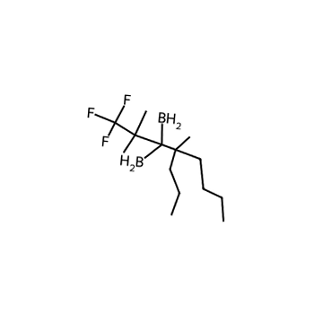 BC(B)(C(C)(CCC)CCCC)C(C)(C)C(F)(F)F